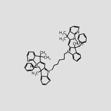 CN1C(=CC2=[N+](CCCCCC[N+]3=C(C=C4N(C)c5ncccc5C4(C)C)C(C)(Cc4ccccc4)c4ccccc43)c3ccccc3C2(C)Cc2ccccc2)C(C)(C)c2cccnc21